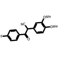 COc1ccc(C(C#N)C(=O)c2ccc(F)cc2)cc1OC